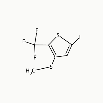 CSc1cc(I)sc1C(F)(F)F